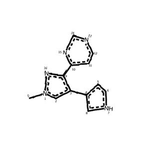 Cn1cc(-c2cc[nH]c2)c(-c2ccncn2)n1